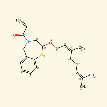 C=CC(=O)N1Cc2ccccc2SC(OCC=C(C)CCC=C(C)C)C1